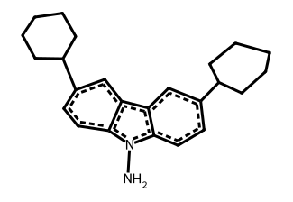 Nn1c2ccc(C3CCCCC3)cc2c2cc(C3CCCCC3)ccc21